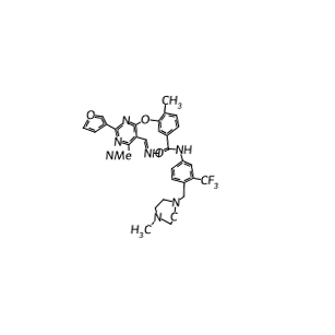 CNc1nc(-c2ccoc2)nc(Oc2cc(C(=O)Nc3ccc(CN4CCN(C)CC4)c(C(F)(F)F)c3)ccc2C)c1C=N